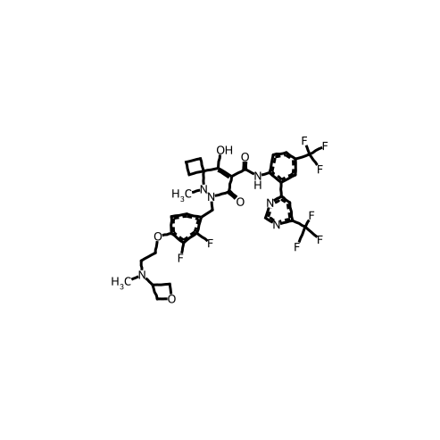 CN(CCOc1ccc(CN2C(=O)C(C(=O)Nc3ccc(C(F)(F)F)cc3-c3cc(C(F)(F)F)ncn3)=C(O)C3(CCC3)N2C)c(F)c1F)C1COC1